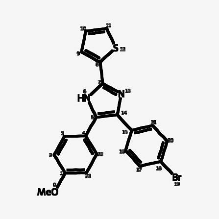 COc1ccc(-c2[nH]c(-c3cccs3)nc2-c2ccc(Br)cc2)cc1